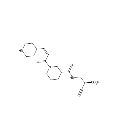 C#C[C@@H](CNC(=O)[C@@H]1CCCN(C(=O)/C=C\C2CCNCC2)C1)C(=O)O